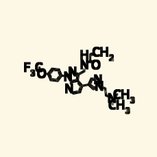 C=CC(=O)NCc1nn(-c2ccc(OC(F)(F)F)cc2)c2nccc(-c3cnn(CCN(C)C)c3)c12